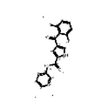 Cc1cccc(F)c1C(=O)c1c[nH]c(C(=O)Nc2cccnc2)c1